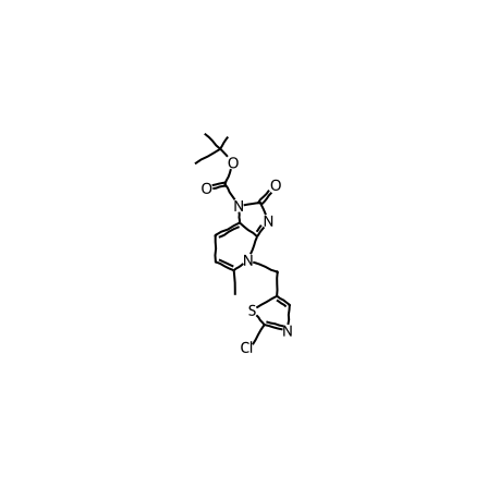 Cc1ccc2n(C(=O)OC(C)(C)C)c(=O)nc-2n1Cc1cnc(Cl)s1